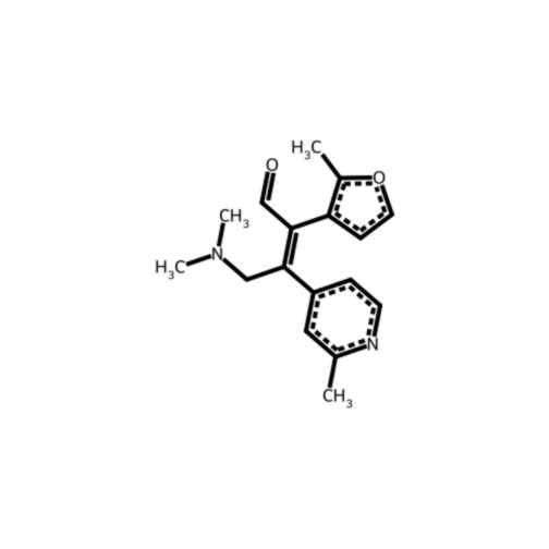 Cc1cc(C(CN(C)C)=C(C=O)c2ccoc2C)ccn1